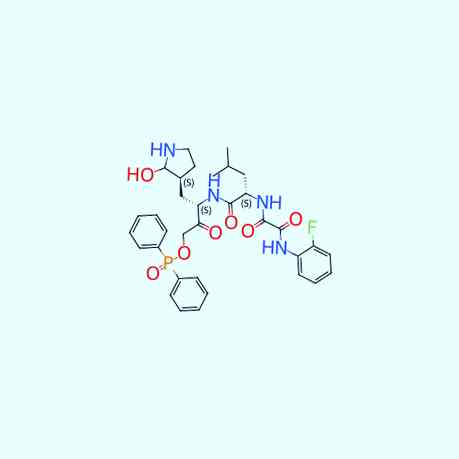 CC(C)C[C@H](NC(=O)C(=O)Nc1ccccc1F)C(=O)N[C@@H](C[C@@H]1CCNC1O)C(=O)COP(=O)(c1ccccc1)c1ccccc1